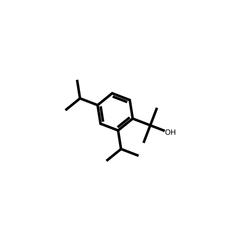 CC(C)c1ccc(C(C)(C)O)c(C(C)C)c1